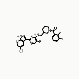 Cc1cccc(C(=O)N2CCCC(CNc3nc(-c4c[nH]c5ncc(Cl)cc45)ncc3F)C2)c1C